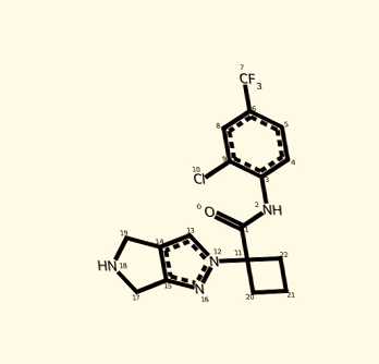 O=C(Nc1ccc(C(F)(F)F)cc1Cl)C1(n2cc3c(n2)CNC3)CCC1